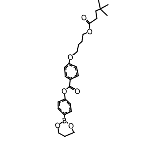 CC(C)(C)CCC(=O)OCCCCOc1ccc(C(=O)Oc2ccc(B3OCCCO3)cc2)cc1